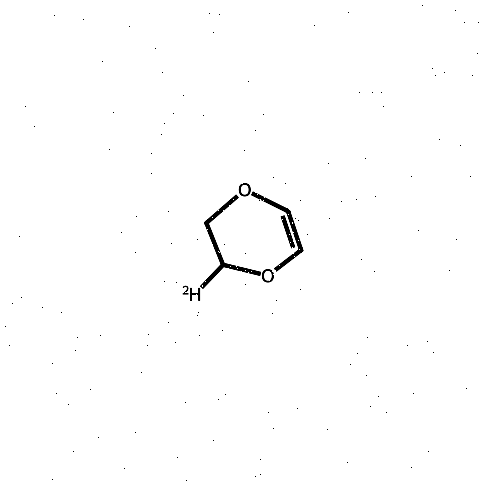 [2H]C1COC=CO1